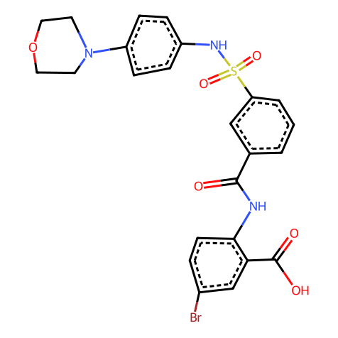 O=C(Nc1ccc(Br)cc1C(=O)O)c1cccc(S(=O)(=O)Nc2ccc(N3CCOCC3)cc2)c1